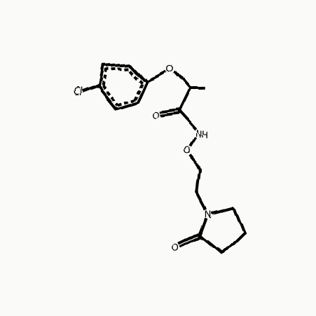 CC(Oc1ccc(Cl)cc1)C(=O)NOCCN1CCCC1=O